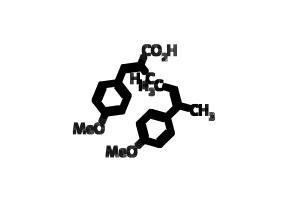 C/C=C(/C)c1ccc(OC)cc1.COc1ccc(/C=C(\C)C(=O)O)cc1